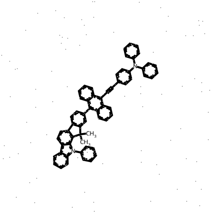 CC1(C)c2cc(-c3c4ccccc4c(C#Cc4ccc(N(c5ccccc5)c5ccccc5)cc4)c4ccccc34)ccc2-c2ccc3c4ccccc4n(-c4ccccc4)c3c21